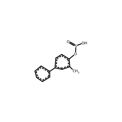 Cc1cc(-c2ccccc2)ccc1OS(=O)O